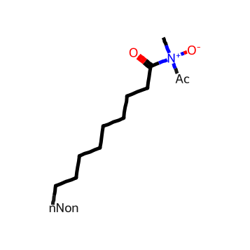 CCCCCCCCCCCCCCCCCC(=O)[N+](C)([O-])C(C)=O